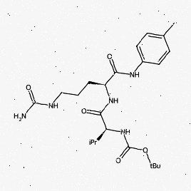 [CH2]c1ccc(NC(=O)[C@H](CCCNC(N)=O)NC(=O)[C@@H](NC(=O)OC(C)(C)C)C(C)C)cc1